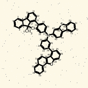 CC1(C)c2ccccc2-c2cccc(-c3ccc(N(c4cccc(-c5cccc6oc7c8ccccc8ccc7c56)c4)c4ccc5c(c4)sc4ccccc45)cc3)c21